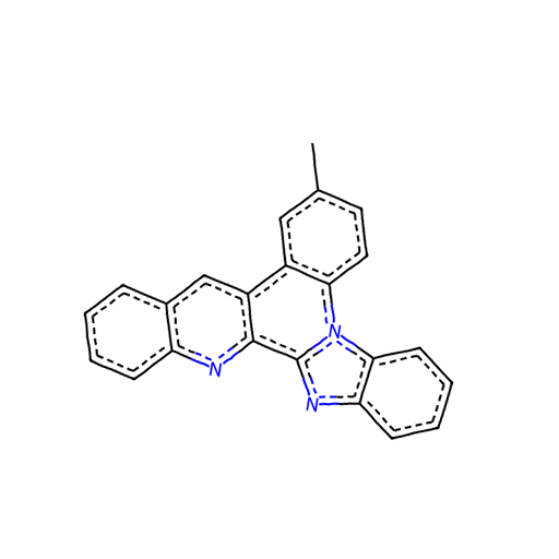 Cc1ccc2c(c1)c1cc3ccccc3nc1c1nc3ccccc3n21